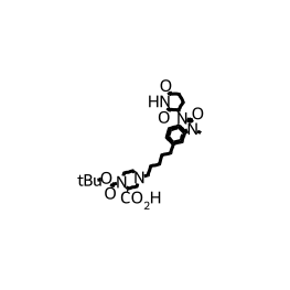 Cn1c(=O)n(C2CCC(=O)NC2=O)c2ccc(CCCCCN3CCN(C(=O)OC(C)(C)C)[C@@H](C(=O)O)C3)cc21